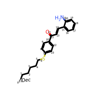 CCCCCCCCCCCCCCCSc1ccc(C(=O)C=Cc2ccccc2N)cc1